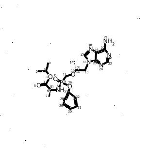 CC(C)OC(=O)[C@H](C)NP(=O)(CO[C@H](C)Cn1cnc2c(N)ncnc21)Oc1ccccc1